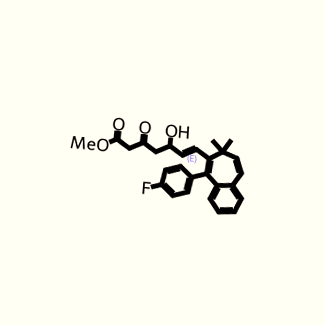 COC(=O)CC(=O)CC(O)/C=C/C1=C(c2ccc(F)cc2)c2ccccc2C=CC1(C)C